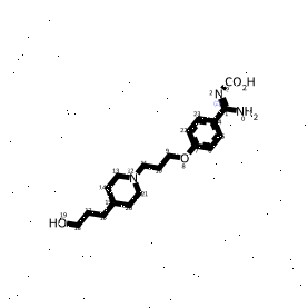 N/C(=N\C(=O)O)c1ccc(OCCCN2CCC(CCCO)CC2)cc1